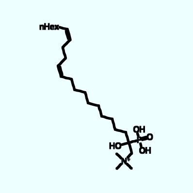 CCCCCC/C=C\CC/C=C\CCCCCCCCCC(O)(C[N+](C)(C)C)P(=O)(O)O